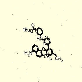 C=Cc1cnc(Oc2c(C)ccc3c(N)cccc23)c(-c2ccnc(NC3CCCN(C(=O)OC(C)(C)C)C3)n2)c1